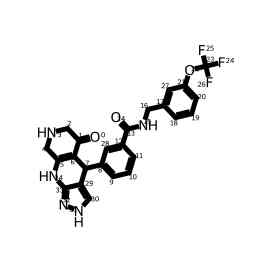 O=C1CNCC2=C1C(c1cccc(C(=O)NCc3cccc(OC(F)(F)F)c3)c1)c1c[nH]nc1N2